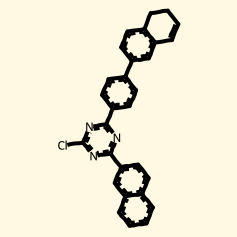 Clc1nc(-c2ccc(-c3ccc4c(c3)C=CCC4)cc2)nc(-c2ccc3ccccc3c2)n1